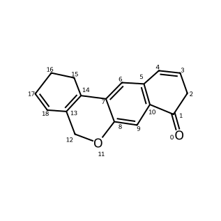 O=C1CC=Cc2cc3c(cc21)OCC1=C3CCC=C1